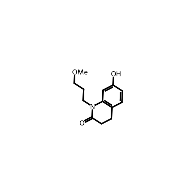 COCCCN1C(=O)CCc2ccc(O)cc21